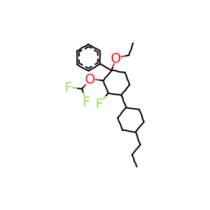 CCCC1CCC(C2CCC(OCC)(c3ccccc3)C(OC(F)F)C2F)CC1